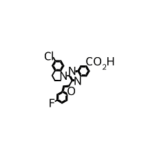 O=C(O)c1ccc2nc(-c3cc4cc(F)ccc4o3)c(N3CCCc4cc(Cl)ccc43)nc2c1